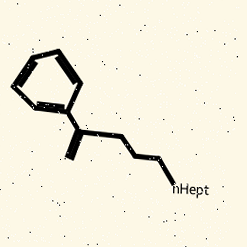 [CH]=C(CCCCCCCCCC)c1ccccc1